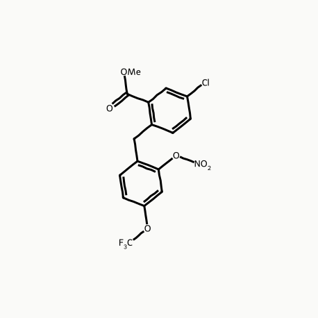 COC(=O)c1cc(Cl)ccc1Cc1ccc(OC(F)(F)F)cc1O[N+](=O)[O-]